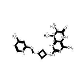 Cc1nc(N[C@H]2C[C@@H](COc3cc(C(F)(F)F)ccn3)C2)nc2c1NC(=O)[C@H](C)N2C